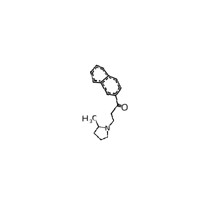 CC1CCCN1CCC(=O)c1ccc2ccccc2c1